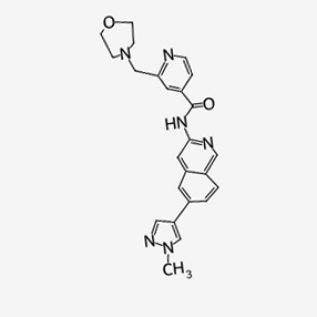 Cn1cc(-c2ccc3cnc(NC(=O)c4ccnc(CN5CCOCC5)c4)cc3c2)cn1